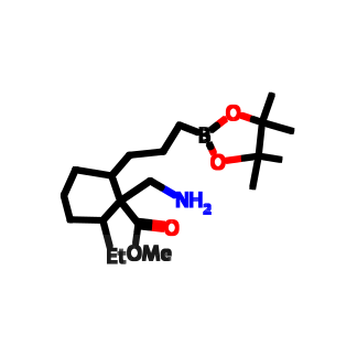 CCC1CCCC(CCCB2OC(C)(C)C(C)(C)O2)C1(CN)C(=O)OC